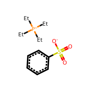 CC[P+](CC)(CC)CC.O=S(=O)([O-])c1ccccc1